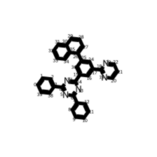 c1ccc(-c2nc(-c3ccccc3)nc(-c3cc(-c4ncccn4)cc(-c4cccc5ccccc45)c3)n2)cc1